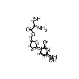 N[C@@H](CS)C(=O)OC[C@@H]1CC[C@H](n2ccc(NO)nc2=O)O1